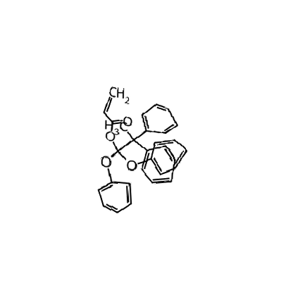 C=CC(=O)OC(Oc1ccccc1)(Oc1ccccc1)C(C)(c1ccccc1)c1ccccc1